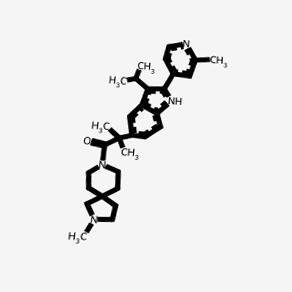 Cc1cc(-c2[nH]c3ccc(C(C)(C)C(=O)N4CCC5(CCN(C)C5)CC4)cc3c2C(C)C)ccn1